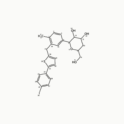 Cc1ccc(C2OC(CO)CC(O)C2O)cc1Cc1ccc(-c2ccc(I)cc2)s1